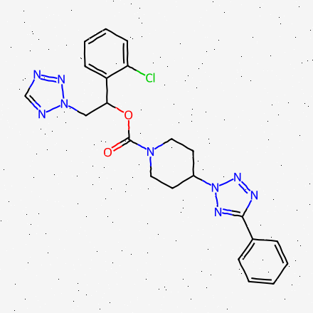 O=C(OC(Cn1ncnn1)c1ccccc1Cl)N1CCC(n2nnc(-c3ccccc3)n2)CC1